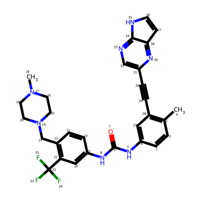 Cc1ccc(NC(=O)Nc2ccc(CN3CCN(C)CC3)c(C(F)(F)F)c2)cc1C#Cc1cnc2[nH]ccc2n1